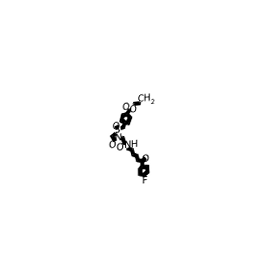 C=CCOC(=O)c1ccc(C[S+]([O-])C2CC(=O)N2CC(=O)NCCCCCC(=O)c2ccc(F)cc2)cc1